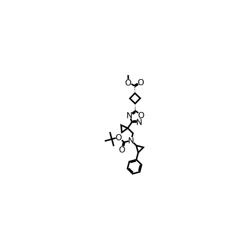 COC(=O)[C@H]1C[C@@H](c2nc(C3(CN(C(=O)OC(C)(C)C)C4CC4c4ccccc4)CC3)no2)C1